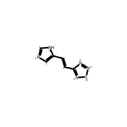 C(=Cc1cnc[nH]1)c1nnsn1